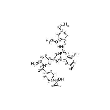 COc1ccc(CNc2nc3c(F)cc(F)cc3c3nc([C@@H]4CC[C@H](C)N(C(=O)c5ccc(C6(O)CC6)cc5)C4)nn23)c(OC)c1